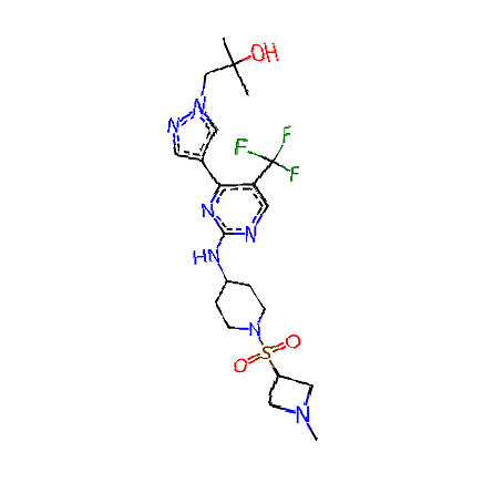 CN1CC(S(=O)(=O)N2CCC(Nc3ncc(C(F)(F)F)c(-c4cnn(CC(C)(C)O)c4)n3)CC2)C1